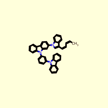 C/C=C\C=C/c1cn(-c2ccc3c4ccccc4n(-c4cccc(-n5c6ccccc6c6ccccc65)c4)c3c2)c2ccccc12